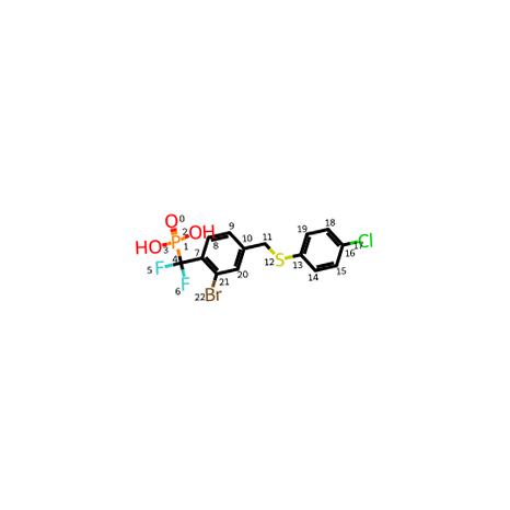 O=P(O)(O)C(F)(F)c1ccc(CSc2ccc(Cl)cc2)cc1Br